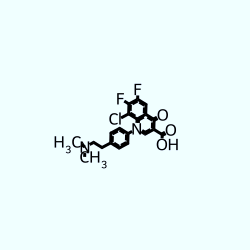 CN(C)CCc1ccc(-n2cc(C(=O)O)c(=O)c3cc(F)c(F)c(Cl)c32)cc1